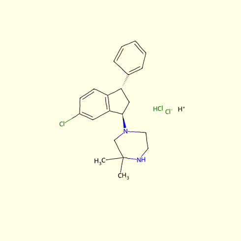 CC1(C)CN([C@@H]2C[C@@H](c3ccccc3)c3ccc(Cl)cc32)CCN1.Cl.[Cl-].[H+]